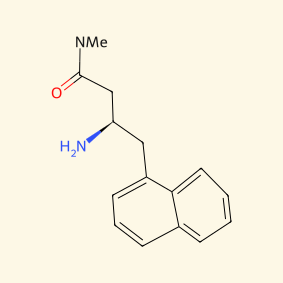 CNC(=O)C[C@H](N)Cc1cccc2ccccc12